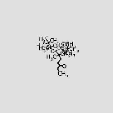 CCC(=O)CCC(C)(C)C(O[Si](C)(C)C(C)(C)C)O[Si](C)(C)C(C)(C)C